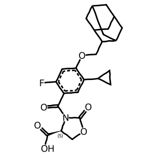 O=C(O)[C@@H]1COC(=O)N1C(=O)c1cc(C2CC2)c(OCC2C3CC4CC(C3)CC2C4)cc1F